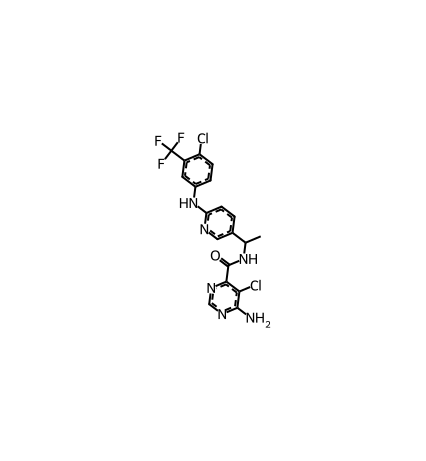 CC(NC(=O)c1ncnc(N)c1Cl)c1ccc(Nc2ccc(Cl)c(C(F)(F)F)c2)nc1